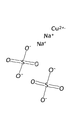 O=S(=O)([O-])[O-].O=S(=O)([O-])[O-].[Cu+2].[Na+].[Na+]